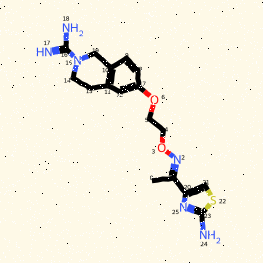 C/C(=N\OCCOc1ccc2c(c1)CCN(C(=N)N)C2)c1csc(N)n1